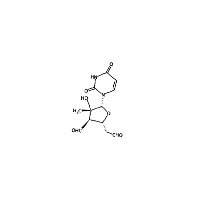 C[C@]1(O)[C@H](C=O)[C@@H](CC=O)O[C@H]1n1ccc(=O)[nH]c1=O